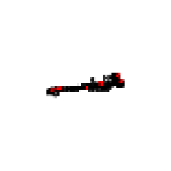 CC(C)(C)OC(=O)NCCOCCOCCOCCOCCC(=O)NCCCC[C@H](NC(=O)OCC1c2ccccc2-c2ccccc21)C(=O)O